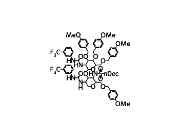 CCCCCCCCCCS(=O)(=O)N[C@H]1C(COCc2ccc(OC)cc2)OCC(NC(=O)Nc2cccc(C(F)(F)F)c2)[C@H]1O[C@@H]1OC(COCc2ccc(OC)cc2)[C@@H](OCc2ccc(OC)cc2)[C@H](OCc2ccc(OC)cc2)C1NC(=O)Nc1cccc(C(F)(F)F)c1